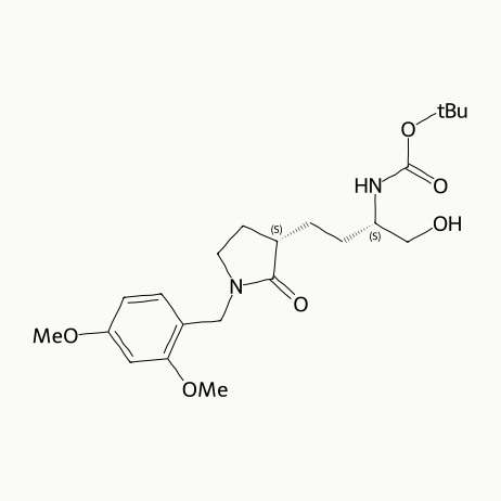 COc1ccc(CN2CC[C@H](CC[C@@H](CO)NC(=O)OC(C)(C)C)C2=O)c(OC)c1